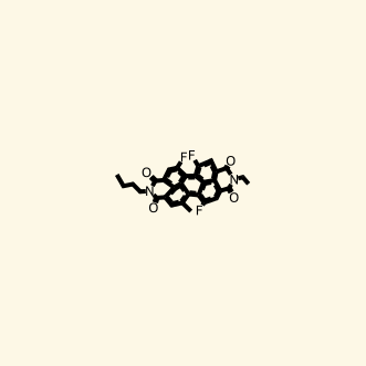 CCCCN1C(=O)c2cc(C)c3c4c(F)cc5c6c(cc(F)c(c7c(F)cc(c2c37)C1=O)c64)C(=O)N(CC)C5=O